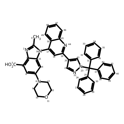 Cc1nc2c(C(=O)O)cc(N3CCOCC3)cc2n1-c1cc(-c2cnn(C(c3ccccc3)(c3ccccc3)c3ccccc3)c2)nc2ccccc12